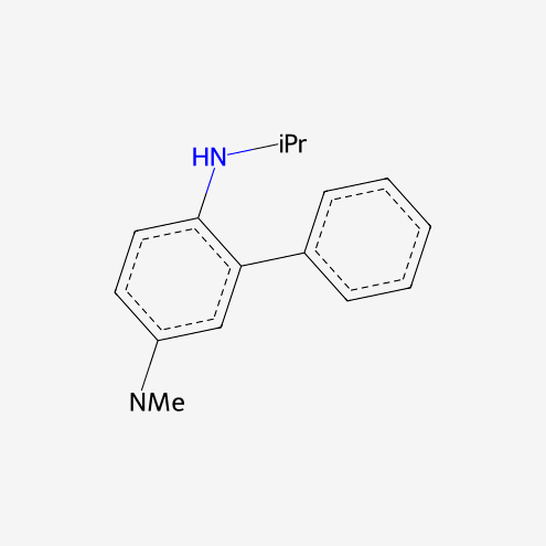 CNc1ccc(NC(C)C)c(-c2ccccc2)c1